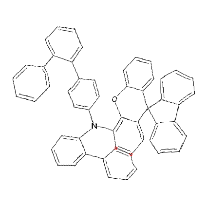 c1ccc(-c2ccccc2-c2ccc(N(c3ccccc3-c3ccccc3)c3cccc4c3Oc3ccccc3C43c4ccccc4-c4ccccc43)cc2)cc1